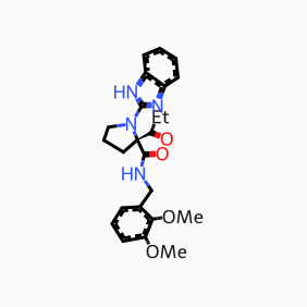 CCC(=O)[C@@]1(C(=O)NCc2cccc(OC)c2OC)CCCN1c1nc2ccccc2[nH]1